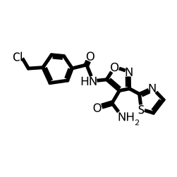 NC(=O)c1c(-c2nccs2)noc1NC(=O)c1ccc(CCl)cc1